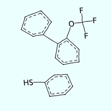 FC(F)(F)Oc1ccccc1-c1ccccc1.Sc1ccccc1